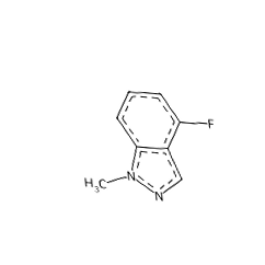 Cn1ncc2c(F)cccc21